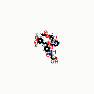 C=CC(=O)OCC(C)(C)C(=O)C(=O)N1CCCCC1C(=O)O[C@H](CCc1ccc(OC)c(OC)c1)c1cccc(NC(=O)CCC(=O)O)c1